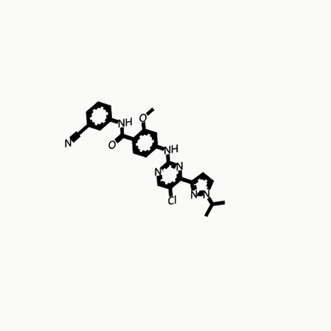 COc1cc(Nc2ncc(Cl)c(-c3ccn(C(C)C)n3)n2)ccc1C(=O)Nc1cccc(C#N)c1